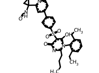 CCCCc1nc(=O)c(S(=O)(=O)c2ccc(-c3ccnc(C4(NC=O)CC4)c3)cc2)c(O)n1-c1c(CC)cccc1CC